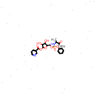 COC(=O)C(C)N[P@@](=O)(OCC1OC(OC(=O)c2cccnc2)C(O)C1O)Oc1ccccc1